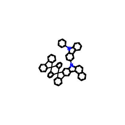 c1ccc(-n2c3ccccc3c3cc(-n4c5cc6c(cc5c5c7ccccc7ccc54)-c4ccccc4C64c5ccccc5C5(c6ccccc6-c6ccccc65)c5ccccc54)ccc32)cc1